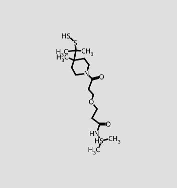 C[SH](C)NC(=O)CCOCCC(=O)N1CCC(C)(C(C)(C)SS)CC1